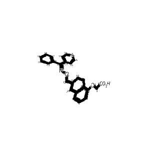 O=C(O)COc1cccc2c1CCC(CO/N=C(/c1ccccc1)c1ccncc1)C2